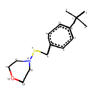 CC(C)(C)c1ccc(CSN2CCOCC2)cc1